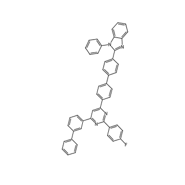 Fc1ccc(-c2nc(-c3ccc(-c4ccc(-c5nc6ccccc6n5-c5ccccc5)cc4)cc3)cc(-c3cccc(-c4ccccc4)c3)n2)cc1